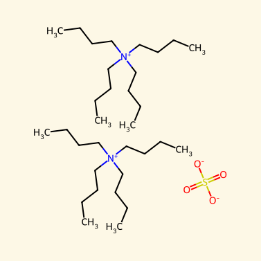 CCCC[N+](CCCC)(CCCC)CCCC.CCCC[N+](CCCC)(CCCC)CCCC.O=S(=O)([O-])[O-]